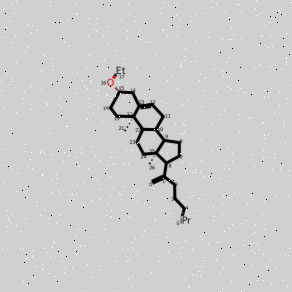 C=C(CCCC(C)C)C1CCC2C3CC=C4C[C@@H](OCC)CC[C@]4(C)C3CC[C@]12C